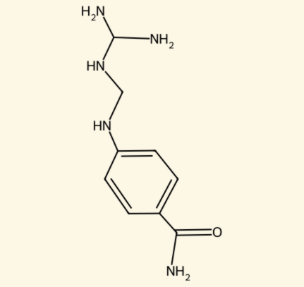 NC(=O)c1ccc(NCNC(N)N)cc1